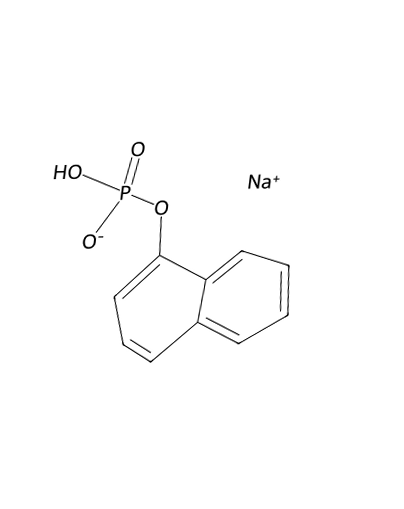 O=P([O-])(O)Oc1cccc2ccccc12.[Na+]